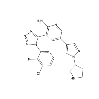 Nc1ncc(-c2cnn(C3CCNC3)c2)cc1-c1nnnn1-c1cccc(Cl)c1F